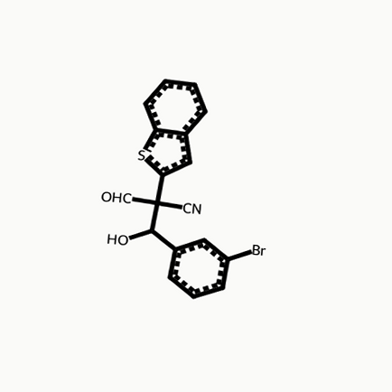 N#CC(C=O)(c1cc2ccccc2s1)C(O)c1cccc(Br)c1